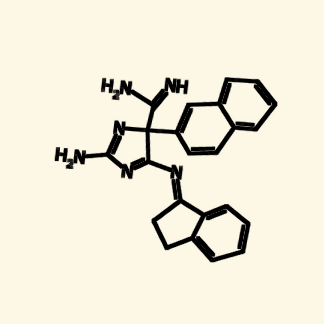 N=C(N)C1(c2ccc3ccccc3c2)N=C(N)N=C1N=C1CCc2ccccc21